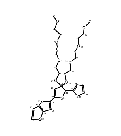 COCCOCCOCCOC1(OCCOCCOCCOC)C=C(c2cc3sccc3s2)SC1c1cccs1